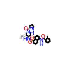 Cc1ccccc1C(=O)Nc1cccc2c(S(=O)(=O)N[C@H]3CCN(C(=O)[C@@H]4CCCN4)C[C@@H]3C(C)C)cccc12